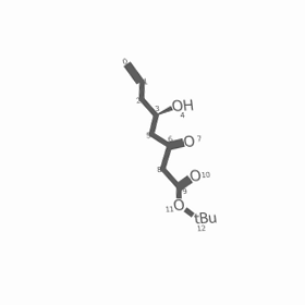 C=CC[C@@H](O)CC(=O)CC(=O)OC(C)(C)C